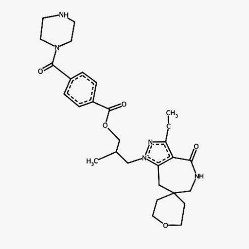 CCc1nn(CC(C)COC(=O)c2ccc(C(=O)N3CCNCC3)cc2)c2c1C(=O)NCC1(CCOCC1)C2